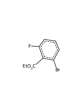 CCOC(=O)c1c(F)cccc1Br